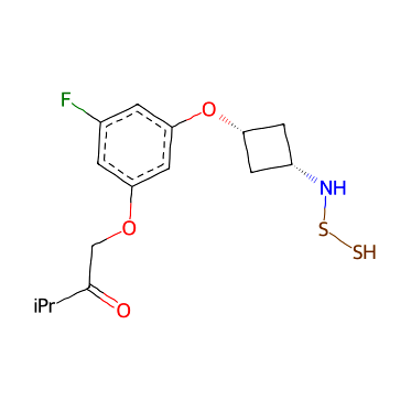 CC(C)C(=O)COc1cc(F)cc(O[C@H]2C[C@@H](NSS)C2)c1